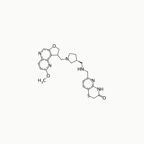 COc1ccc2ncc3c(c2n1)C(CN1CC[C@@H](CNCc2ccc4c(n2)NC(=O)CS4)C1)CO3